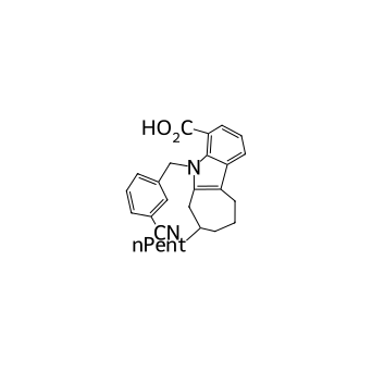 CCCCCC1CCCc2c(n(Cc3cccc(C#N)c3)c3c(C(=O)O)cccc23)C1